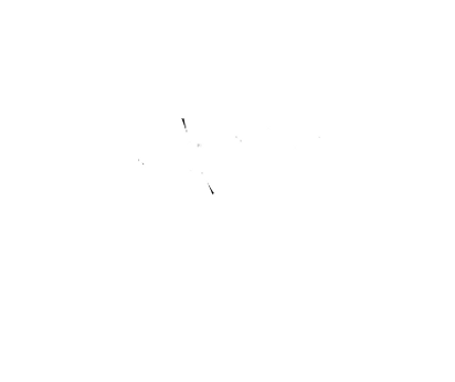 CC(C)(C)OC(=O)N1C[C@H]2CN3CCCc4cccc(c43)[C@H]2C1